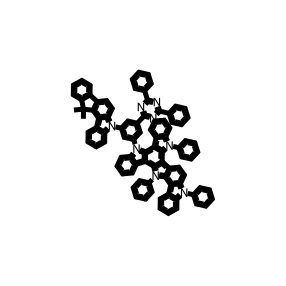 CC1(C)c2ccccc2-c2ccc3c(c21)c1ccccc1n3-c1cc(-c2nc(-c3ccccc3)nc(-c3ccccc3)n2)cc(-n2c3ccccc3c3c2c2c4ccccc4n(-c4ccccc4)c2c2c4ccc5c(c6ccccc6n5-c5ccccc5)c4n(-c4ccccc4)c23)c1